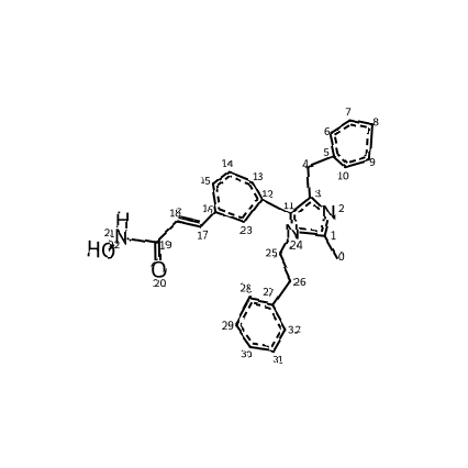 Cc1nc(Cc2ccccc2)c(-c2cccc(C=CC(=O)NO)c2)n1CCc1ccccc1